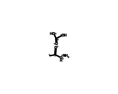 CC(=O)O.N.O=C(O)O